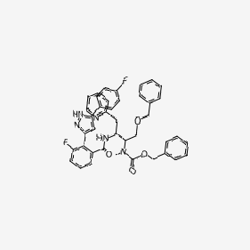 CN(C(=O)OCc1ccccc1)C(COCc1ccccc1)C(Cc1ccccn1)NC(=O)c1cccc(F)c1-c1cc(-c2ccc(F)cc2)[nH]n1